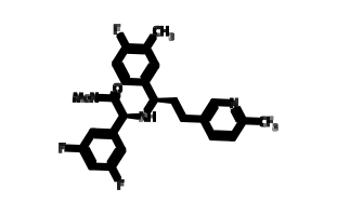 CNC(=O)[C@@H](N[C@H](CCc1ccc(C(F)(F)F)nc1)c1ccc(F)c(C)c1)c1cc(F)cc(F)c1